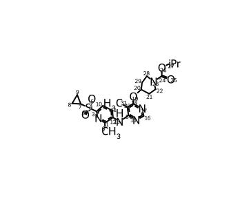 Cc1nc(S(=O)(=O)C2CC2)ccc1Nc1ncnc(OC2CCN(C(=O)OC(C)C)CC2)c1C